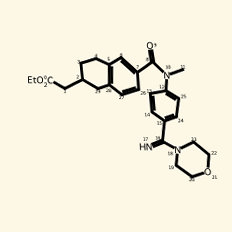 CCOC(=O)CC1CCc2cc(C(=O)N(C)c3ccc(C(=N)N4CCOCC4)cc3)ccc2C1